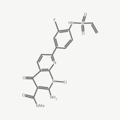 C=CS(=O)(=O)Nc1ccc(-c2ccc3c(=O)c(C(=O)NC)c(N)n(CC)c3n2)cc1F